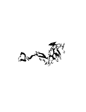 Cc1oc2ncnc(NC3(C)CC3)c2c1C(=O)N(C)c1cnn(CCN2CCOCC2)c1